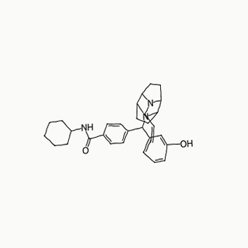 C=CCN1C2CCC1C1CCC2N1C(c1ccc(C(=O)NC2CCCCC2)cc1)c1cccc(O)c1